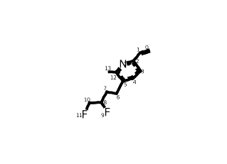 C=Cc1ccc(CCC(F)CF)c(C)n1